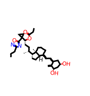 C=C1/C(=C\C=C2/CCC[C@]3(C)[C@@H]([C@H](C)CC[C@@H](OC(=O)CC)C4(c5nc(CCC)no5)CC4)CC[C@@H]23)C[C@@H](O)C[C@@H]1O